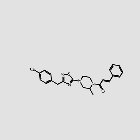 CC1CN(c2nc(Cc3ccc(Cl)cc3)ns2)CCN1C(=O)C=Cc1ccccc1